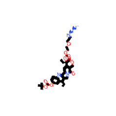 CCc1c2c(nc3ccc(OC(=O)OC(C)(C)C)cc13)-c1cc3c(c(=O)n1C2)COC(=O)[C@@]3(CC)OC(=O)OCCOCCN=[N+]=[N-]